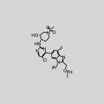 CC(C)n1c(COPI)nc2c(F)cc(-c3nc(N[C@@H]4CCN(S(C)(=O)=O)C[C@H]4O)ncc3Cl)cc21